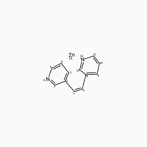 C(=C/c1cccnc1)/c1cccnc1.[Zn]